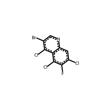 Fc1c(Cl)cc2ncc(Br)c(Cl)c2c1Cl